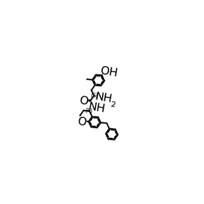 Cc1cc(O)ccc1C[C@H](N)C(=O)N[C@@H]1CCOc2ccc(Cc3ccccc3)cc21